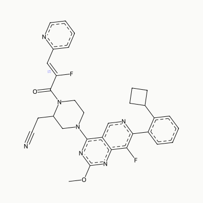 COc1nc(N2CCN(C(=O)/C(F)=C/c3ccccn3)C(CC#N)C2)c2cnc(-c3ccccc3C3CCC3)c(F)c2n1